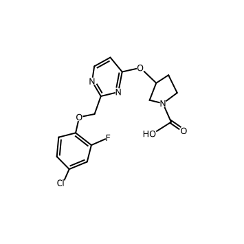 O=C(O)N1CCC(Oc2ccnc(COc3ccc(Cl)cc3F)n2)C1